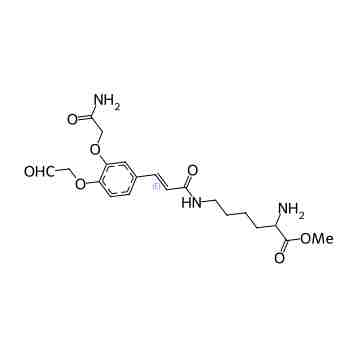 COC(=O)C(N)CCCCNC(=O)/C=C/c1ccc(OCC=O)c(OCC(N)=O)c1